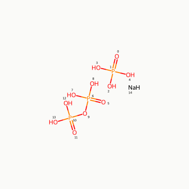 O=P(O)(O)O.O=P(O)(O)OP(=O)(O)O.[NaH]